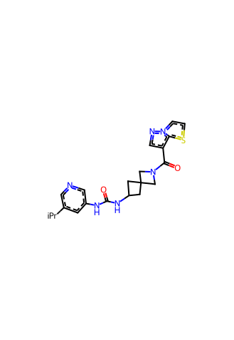 CC(C)c1cncc(NC(=O)NC2CC3(C2)CN(C(=O)c2cnn4ccsc24)C3)c1